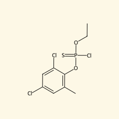 CCOP(=S)(Cl)Oc1c(C)cc(Cl)cc1Cl